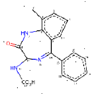 Cc1cccc2c1NC(=O)C(NC(=O)O)N=C2c1ccccc1